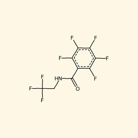 O=C(NCC(F)(F)F)c1c(F)c(F)c(F)c(F)c1F